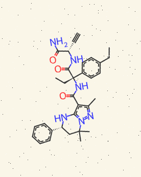 C#C[C@H](NC(=O)[C@@](CC)(NC(=O)c1c(C)nn2c1N[C@@H](c1ccccc1)CC2(C)C)c1ccc(CC)cc1)C(N)=O